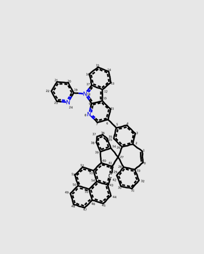 C1=Cc2ccc(-c3cnc4c(c3)c3ccccc3n4-c3ccccn3)cc2C2(c3ccccc31)c1ccccc1-c1c2cc2ccc3cccc4ccc1c2c34